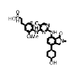 COc1cc(CC[PH](=O)O)ccc1Nc1nc(Nc2ccc(C3CCC(O)CC3)c3c2C(=O)N(C)C3)ncc1C(F)(F)F